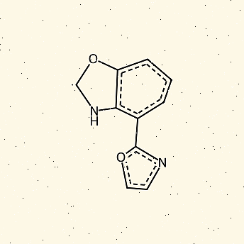 [CH]1Nc2c(cccc2-c2ncco2)O1